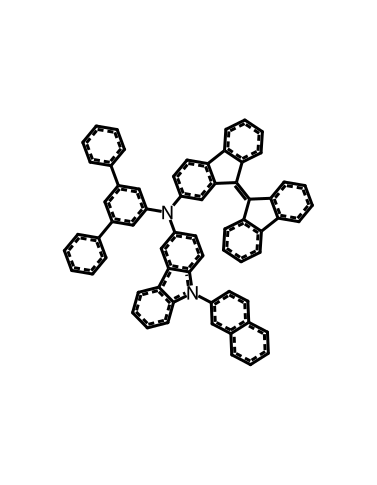 c1ccc(-c2cc(-c3ccccc3)cc(N(c3ccc4c(c3)C(=C3c5ccccc5-c5ccccc53)c3ccccc3-4)c3ccc4c(c3)c3ccccc3n4-c3ccc4ccccc4c3)c2)cc1